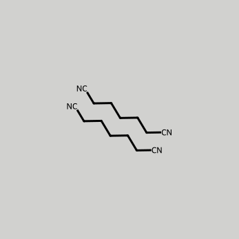 N#CCCCCCC#N.N#CCCCCCC#N